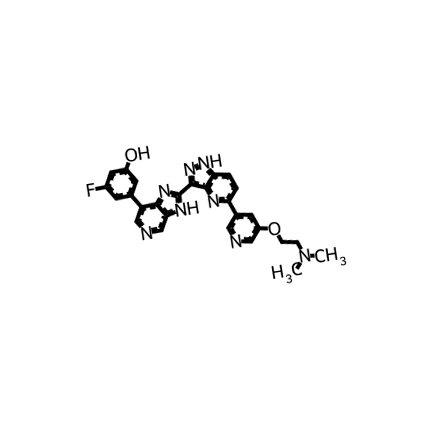 CN(C)CCOc1cncc(-c2ccc3[nH]nc(-c4nc5c(-c6cc(O)cc(F)c6)cncc5[nH]4)c3n2)c1